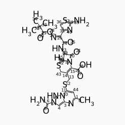 CC1=NC2=CN(C(N)=O)NN2C(SCC2=C(C(=O)O)N3C(=O)[C@@H](NC(=O)C(=NOC(=O)C(C)(C)C)c4csc(N)n4)[C@H]3SC2)=C1